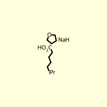 C1CCOC1.CC(C)CCCCC(=O)O.[NaH]